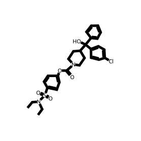 CCN(CC)S(=O)(=O)c1ccc(OC(=O)N2CCC(C(O)(c3ccccc3)c3ccc(Cl)cc3)CC2)cc1